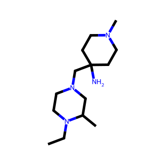 CCN1CCN(CC2(N)CCN(C)CC2)CC1C